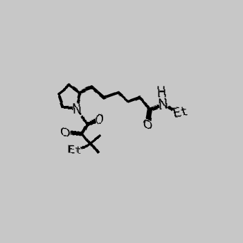 CCNC(=O)CCCCCC1CCCN1C(=O)C(=O)C(C)(C)CC